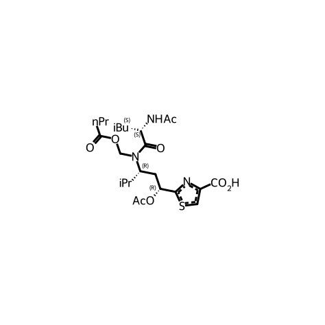 CCCC(=O)OCN(C(=O)[C@@H](NC(C)=O)[C@@H](C)CC)[C@H](C[C@@H](OC(C)=O)c1nc(C(=O)O)cs1)C(C)C